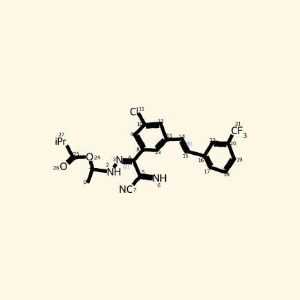 CC(N/N=C(\C(=N)C#N)c1cc(Cl)cc(/C=C/c2cccc(C(F)(F)F)c2)c1)OC(=O)C(C)C